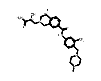 C[C@H]1CN(C[C@H](O)C(N)=O)Cc2cc(C(=O)Nc3ccc(CN4CCN(C)CC4)c(C(F)(F)F)c3)ccc21